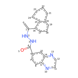 C=C(NNC(=O)c1ccc2nccnc2c1)c1cccc2ccccc12